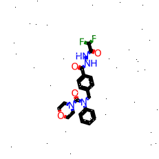 O=C(NNC(=O)C(F)F)c1ccc(CN(C(=O)N2CCOCC2)c2ccccc2)cc1